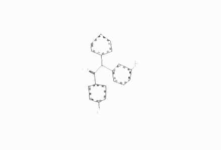 O=C(c1ccc(Cl)cc1)C(c1ccccc1)c1cccc(F)c1